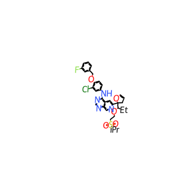 CCC(OCCS(=O)(=O)C(C)C)C1(c2cc3c(Nc4ccc(OCc5cccc(F)c5)c(Cl)c4)ncnc3cn2)CC=CO1